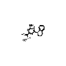 N=C(NO)c1nc(N)nc(N2CCCc3ccccc32)n1